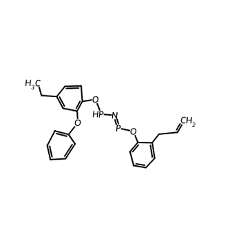 C=CCc1ccccc1OP=NPOc1ccc(CC)cc1Oc1ccccc1